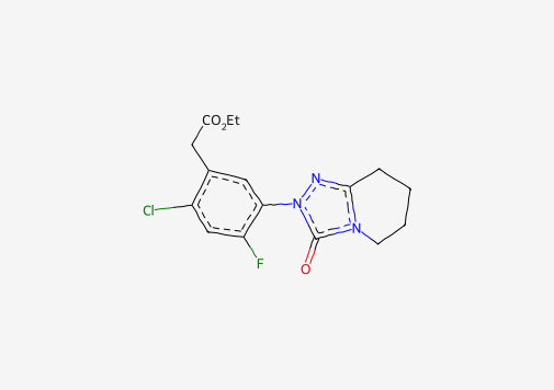 CCOC(=O)Cc1cc(-n2nc3n(c2=O)CCCC3)c(F)cc1Cl